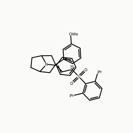 COc1cccc(C2(CNS(=O)(=O)c3c(C(C)C)cccc3C(C)C)CC3CCC(C2)N3c2ccccc2)c1